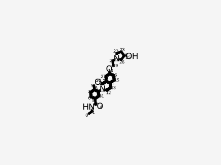 CCNC(=O)c1ccc(C)c(-n2ccc3ccc(OCCN4CC[C@@H](O)C4)cc3c2=O)c1